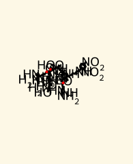 N=C(N)NCCC[C@H](NC(=O)CNC(=O)[C@@H](N)CO)C(=O)N[C@@H](CO)C(=O)NCC(=O)N[C@@H](CCCCNc1ccc([N+](=O)[O-])cc1[N+](=O)[O-])C(=O)N[C@H](CCCNC(=N)N)C(=O)O